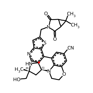 CC1(C)C2C(=O)N(Cc3cc4nccc(-c5cc(C#N)cc6c5N([C@@H]5CN[C@@](C)(CO)C5)CCO6)c4s3)C(=O)C21